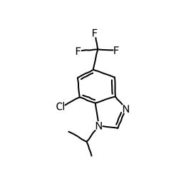 CC(C)n1cnc2cc(C(F)(F)F)cc(Cl)c21